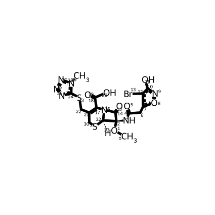 CO[C@@]1(NC(=O)Cc2onc(O)c2Br)C(=O)N2C(C(=O)O)=C(CSc3nnnn3C)CS[C@@H]21